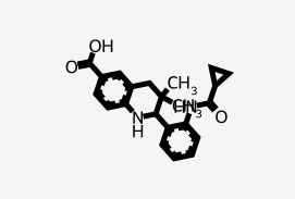 CC1(C)Cc2cc(C(=O)O)ccc2NC1c1ccccc1NC(=O)C1CC1